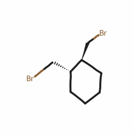 BrC[C@H]1CCCC[C@@H]1CBr